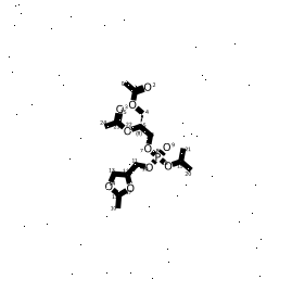 CC(=O)OC[C@H](COP(=O)(OCC1COC(C)O1)OC(C)C)OC(C)=O